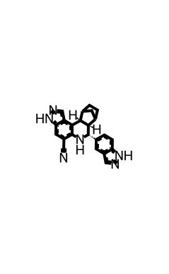 N#Cc1cc2[nH]ncc2c2c1N[C@@H](c1ccc3[nH]ncc3c1)[C@@H]1C3CCC(C3)[C@H]21